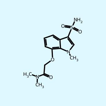 CN(C)C(=O)COc1cccc2c(S(N)(=O)=O)cn(C)c12